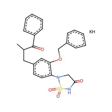 CC(Cc1ccc(N2CC(=O)NS2(=O)=O)c(OCc2ccccc2)c1)C(=O)c1ccccc1.[KH]